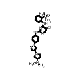 CN(C)[C@H]1CCN(c2cnn(-c3ccc(Nc4ncc(Cl)c(Nc5ccccc5P(C)(C)=O)n4)cc3)c2)C1